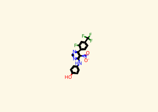 O=[N+]([O-])c1c(Nc2ccc(O)cc2)ncnc1-c1ccc(C(F)(F)F)cc1F